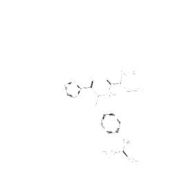 CC(=O)NC(CC(C)C)C(=O)NC(Cc1ccc(NC(=N)N)cc1)C(=O)c1nccs1